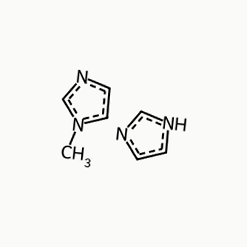 Cn1ccnc1.c1c[nH]cn1